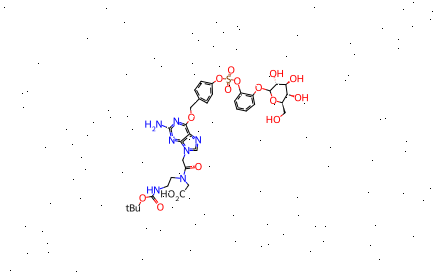 CC(C)(C)OC(=O)NCCN(CC(=O)O)C(=O)Cn1cnc2c(OCc3ccc(OS(=O)(=O)Oc4ccccc4OC4O[C@H](CO)[C@H](O)[C@H](O)[C@H]4O)cc3)nc(N)nc21